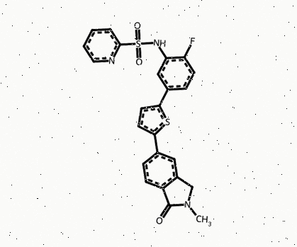 CN1Cc2cc(-c3ccc(-c4ccc(F)c(NS(=O)(=O)c5ccccn5)c4)s3)ccc2C1=O